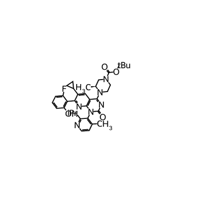 Cc1ccnc(C(C)C)c1-n1c(=O)nc(N2CCN(C(=O)OC(C)(C)C)C[C@@H]2C)c2cc(C3CC3)c(-c3c(O)cccc3F)nc21